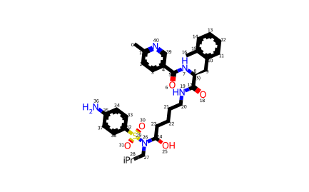 Cc1ccc(C(=O)N[C@@H](Cc2ccccc2C)C(=O)NCCCCC(O)N(CC(C)C)S(=O)(=O)c2ccc(N)cc2)cn1